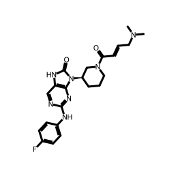 CN(C)C/C=C/C(=O)N1CCC[C@@H](n2c(=O)[nH]c3cnc(Nc4ccc(F)cc4)nc32)C1